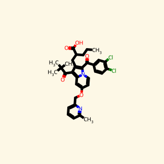 CCCC(Cc1c(C(=O)C(C)(C)C)c2cc(OCc3cccc(C)n3)ccn2c1C(=O)c1ccc(Cl)c(Cl)c1)C(=O)O